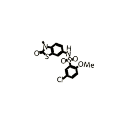 COc1ccc(Cl)cc1S(=O)(=O)Nc1ccc2c(c1)sc(=O)n2C